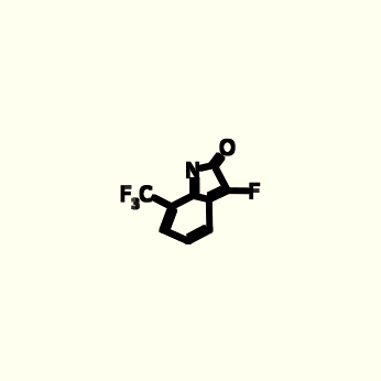 O=C1N=c2c(C(F)(F)F)cccc2=C1F